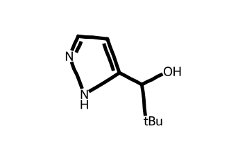 CC(C)(C)C(O)c1ccn[nH]1